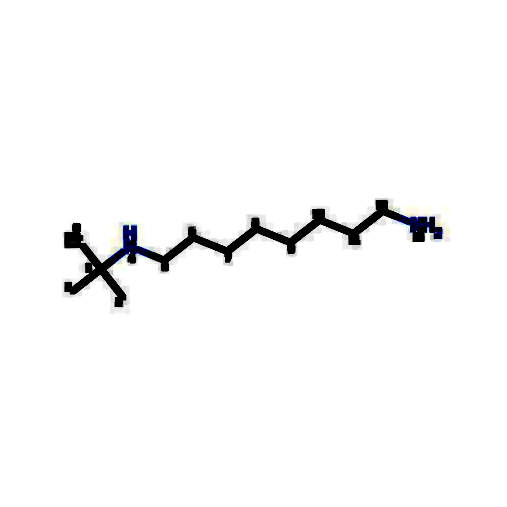 CCC(C)(C)NCCCCCCCCN